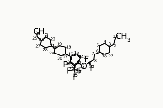 CCCC1CCC(CCC(F)(F)Oc2ccc(C3CCC(C4CCC(CC)CC4)CC3)c(F)c2C(F)(F)F)CC1